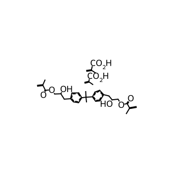 C=C(C)C(=O)O.C=C(C)C(=O)O.C=C(C)C(=O)OCC(O)Cc1ccc(C(C)(C)c2ccc(CC(O)COC(=O)C(=C)C)cc2)cc1